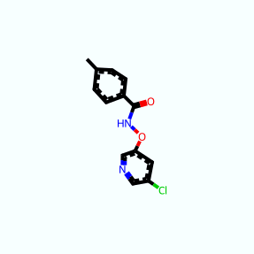 Cc1ccc(C(=O)NOc2cncc(Cl)c2)cc1